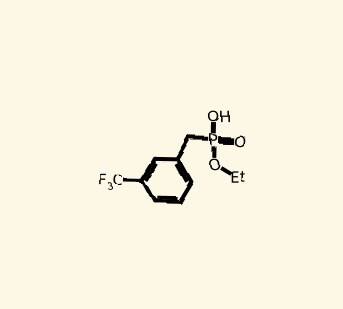 CCOP(=O)(O)Cc1cccc(C(F)(F)F)c1